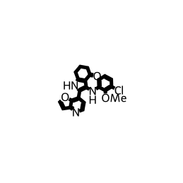 COc1c(Cl)cccc1Nc1c(-c2ccnc3ccoc23)[nH]c2c1C(=O)CCC2